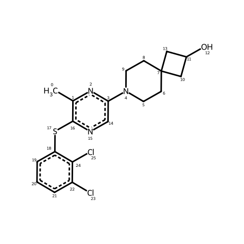 Cc1nc(N2CCC3(CC2)CC(O)C3)cnc1Sc1cccc(Cl)c1Cl